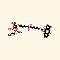 B[C@@H]1O[C@H](CO)C(OP(OCCC#N)N(C(C)C)C(C)C)[C@@H]1OCCCCCCNC(=O)CCCCCNC(=O)OC1Cc2ccccc2C#Cc2ccccc21